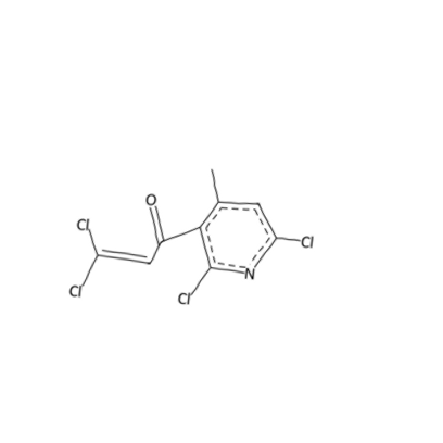 Cc1cc(Cl)nc(Cl)c1C(=O)C=C(Cl)Cl